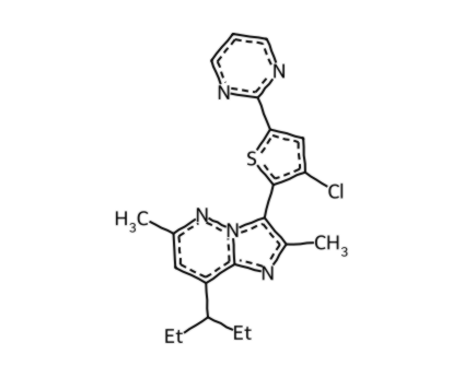 CCC(CC)c1cc(C)nn2c(-c3sc(-c4ncccn4)cc3Cl)c(C)nc12